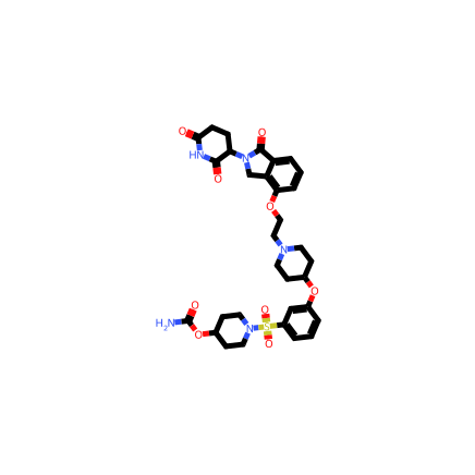 NC(=O)OC1CCN(S(=O)(=O)c2cccc(OC3CCN(CCOc4cccc5c4CN(C4CCC(=O)NC4=O)C5=O)CC3)c2)CC1